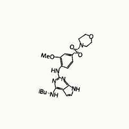 CC[C@@H](C)Nc1nc(Nc2ccc(S(=O)(=O)N3CCOCC3)cc2OC)nc2[nH]ccc12